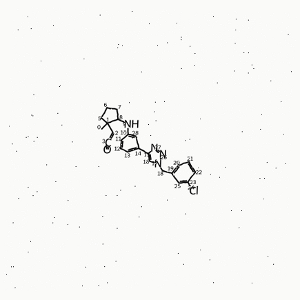 CC1(C=C=O)CCCC1Nc1cccc(-c2cn(Cc3cccc(Cl)c3)nn2)c1